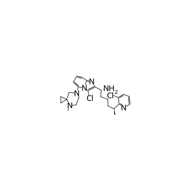 C[C@@H](CCC[C@@H](N)c1nc2cccc(N3CCN(C)C4(CC4)C3)n2c1Cl)c1ncccc1Cl